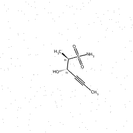 CC#C[C@H](O)[C@@H](C)S(N)(=O)=O